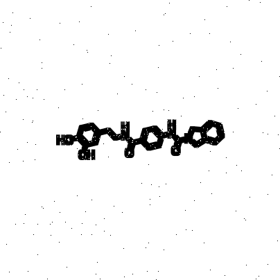 O=C(NCCc1ccc(O)c(O)c1)c1ccc(NC(=O)N2Cc3ccccc3C2)cc1